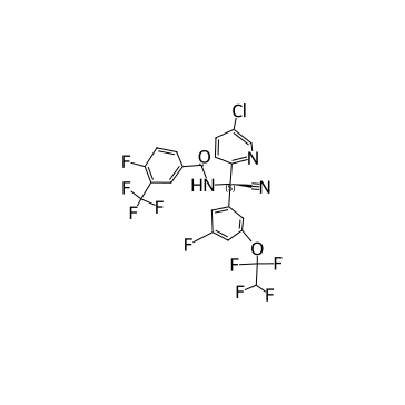 N#C[C@](NC(=O)c1ccc(F)c(C(F)(F)F)c1)(c1cc(F)cc(OC(F)(F)C(F)F)c1)c1ccc(Cl)cn1